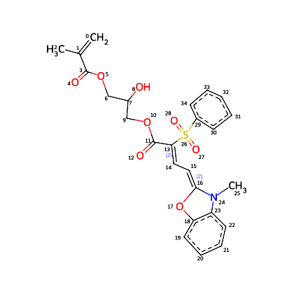 C=C(C)C(=O)OCC(O)COC(=O)/C(=C/C=C1\Oc2ccccc2N1C)S(=O)(=O)c1ccccc1